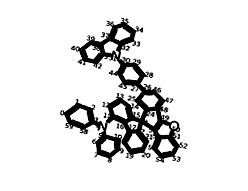 c1ccc(N(c2ccccc2)c2cccc3c2-c2ccccc2C32c3cc(-c4ccc(-n5c6ccccc6c6ccccc65)cc4)ccc3-c3oc4ccccc4c32)cc1